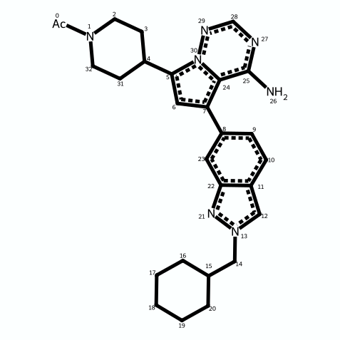 CC(=O)N1CCC(c2cc(-c3ccc4cn(CC5CCCCC5)nc4c3)c3c(N)ncnn23)CC1